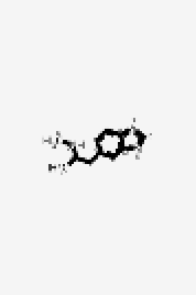 CNC(C)Cc1ccc2scnc2c1